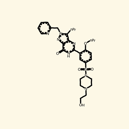 CCCOc1ccc(S(=O)(=O)N2CCN(CCO)CC2)cc1-c1nc2c(CCC)n(Cc3ccccn3)nc2c(=O)[nH]1